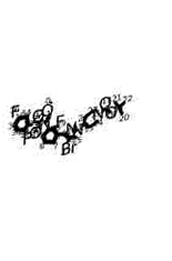 COCN(c1cccc(-c2nn(C3CCN(C(=O)OC(C)(C)C)CC3)cc2Br)c1F)S(=O)(=O)c1cc(F)ccc1F